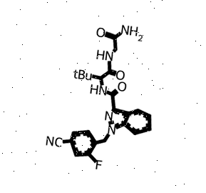 CC(C)(C)C(NC(=O)c1nn(Cc2ccc(C#N)cc2F)c2ccccc12)C(=O)NCC(N)=O